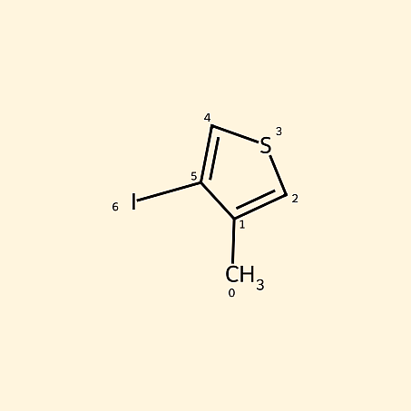 Cc1cscc1I